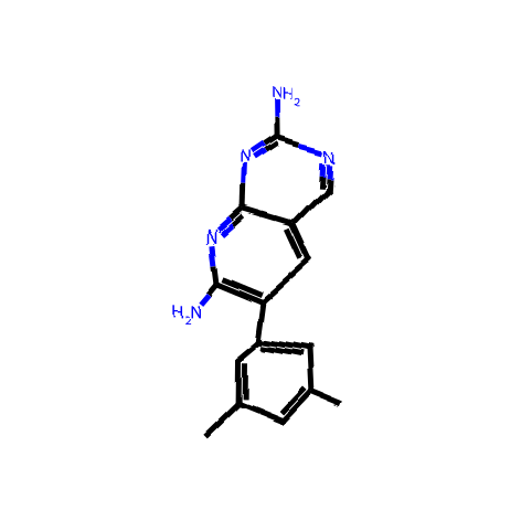 Cc1cc(C)cc(-c2cc3cnc(N)nc3nc2N)c1